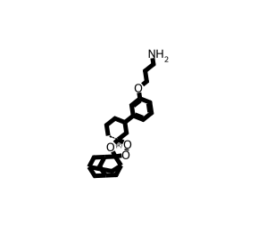 NCCCOc1cccc(C2CCC[C@]3(C2)OOC2(O3)C3CC4CC(C3)CC2C4)c1